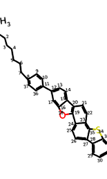 CCCCCCCCc1ccc(-c2ccc3c(c2)oc2c3ccc3c2ccc2c4ccccc4sc23)cc1